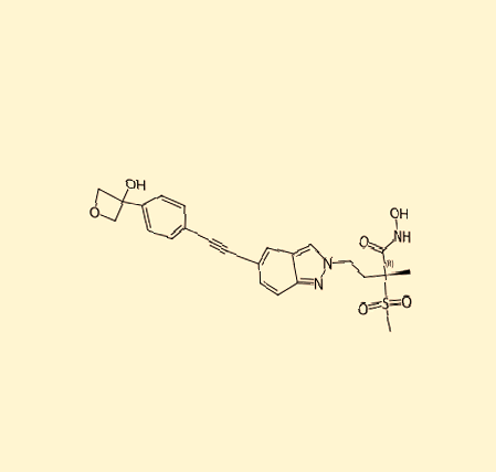 C[C@@](CCn1cc2cc(C#Cc3ccc(C4(O)COC4)cc3)ccc2n1)(C(=O)NO)S(C)(=O)=O